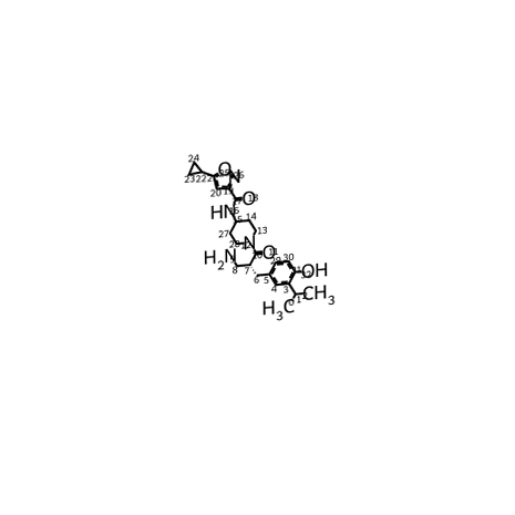 CC(C)c1cc(C[C@H](CN)C(=O)N2CCC(NC(=O)c3cc(C4CC4)on3)CC2)ccc1O